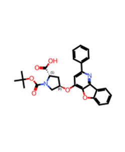 CC(C)(C)OC(=O)N1C[C@H](Oc2cc(-c3ccccc3)nc3c2oc2ccccc23)C[C@H]1C(=O)O